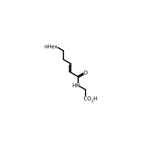 CCCCCCCCC=CC(=O)NCC(=O)O